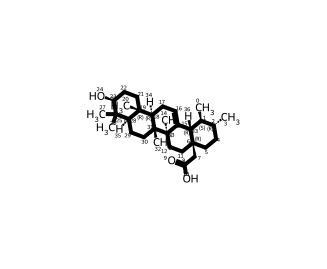 C[C@H]1[C@H](C)CC[C@]2(CC(=O)O)CC[C@]3(C)C(=CC[C@@H]4[C@@]5(C)CC[C@H](O)C(C)(C)[C@@H]5CC[C@]43C)[C@H]12